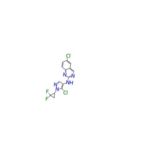 FC1(F)CC1n1ncc(Nc2ncc3cc(Cl)ccc3n2)c1Cl